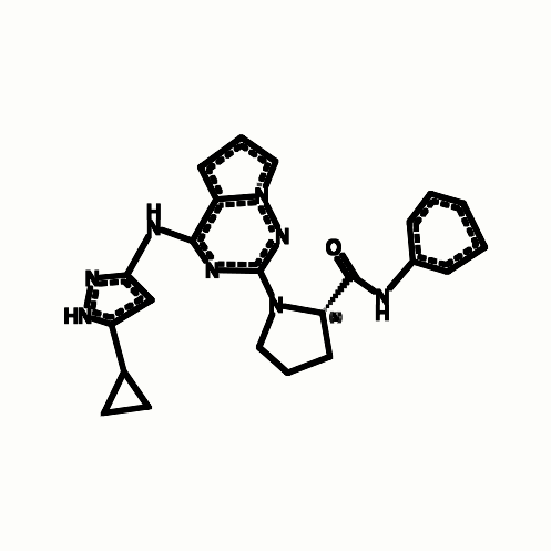 O=C(Nc1ccccc1)[C@@H]1CCCN1c1nc(Nc2cc(C3CC3)[nH]n2)c2cccn2n1